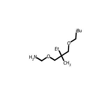 CCC(C)COCC(C)(CC)COCN